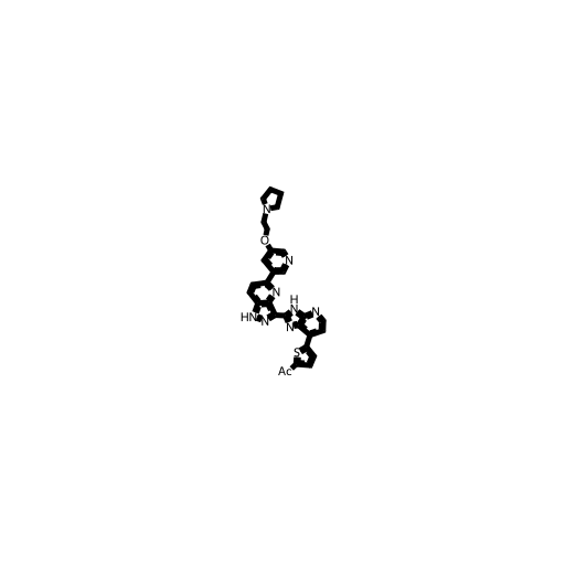 CC(=O)c1ccc(-c2ccnc3[nH]c(-c4n[nH]c5ccc(-c6cncc(OCCN7CCCC7)c6)nc45)nc23)s1